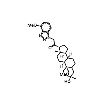 COC[C@]12CC[C@@](C)(O)CC1CC[C@@H]1[C@@H]2CC[C@]2(C)[C@@H](C(=O)Cn3nnc4c(OC)cccc43)CC[C@@H]12